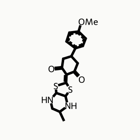 COc1ccc(C2CC(=O)C(=C3SC4NCC(C)NC4S3)C(=O)C2)cc1